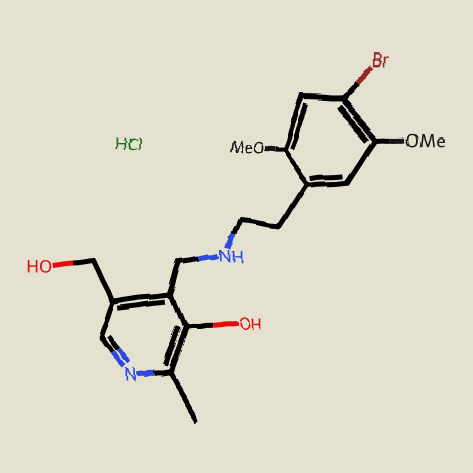 COc1cc(CCNCc2c(CO)cnc(C)c2O)c(OC)cc1Br.Cl